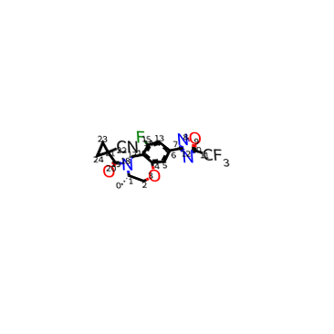 C[C@H]1COc2cc(-c3noc(C(F)(F)F)n3)cc(F)c2CN1C(=O)C1(C#N)CC1